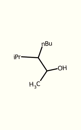 CCCCC(C(C)C)C(C)O